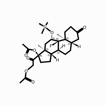 CC(=O)OCC(=O)[C@@]1(OC(C)=O)CC[C@H]2[C@@H]3CC[C@H]4CC(=O)CC[C@]4(C)[C@@]3(F)[C@@H](O[Si](C)(C)C)C[C@@]21C